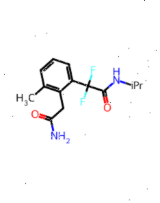 Cc1cccc(C(F)(F)C(=O)NC(C)C)c1CC(N)=O